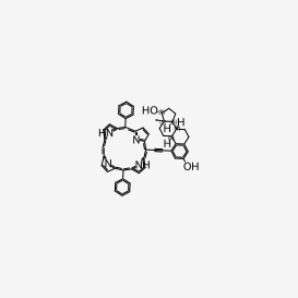 C[C@]12CC[C@@H]3c4c(C#Cc5c6nc(c(-c7ccccc7)c7ccc(cc8nc(c(-c9ccccc9)c9ccc5[nH]9)C=C8)[nH]7)C=C6)cc(O)cc4CC[C@H]3[C@@H]1CC[C@H]2O